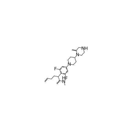 C=CCCC(C(=C)NC)c1c(F)cc(N2CCC(N3CCNCC3=C)CC2)cc1F